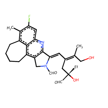 CC[C@@](O)(C=O)CC(/C=C1/c2nc3cc(F)c(C)c4c3c(c2CN1C=O)CCCC4)=C(/C)CO